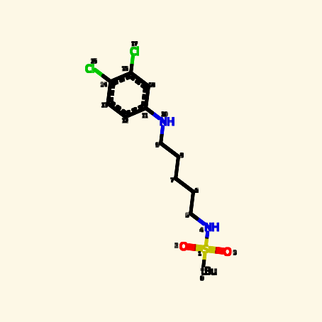 CC(C)(C)S(=O)(=O)NCCCCCNc1ccc(Cl)c(Cl)c1